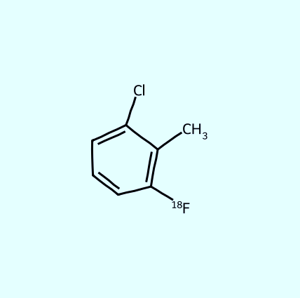 Cc1c([18F])cccc1Cl